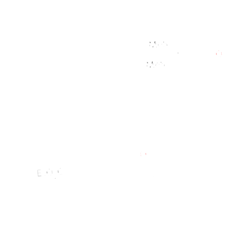 CCOC(=O)CCCCc1ccc(C#Cc2ccc3c(c2)C(SC)(SC)CCO3)o1